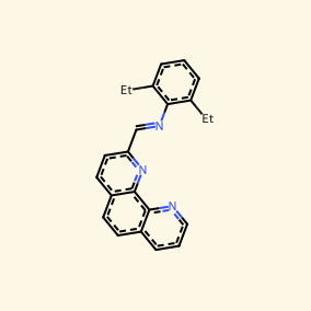 CCc1cccc(CC)c1N=Cc1ccc2ccc3cccnc3c2n1